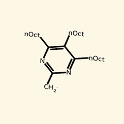 [CH2]c1nc(CCCCCCCC)c(CCCCCCCC)c(CCCCCCCC)n1